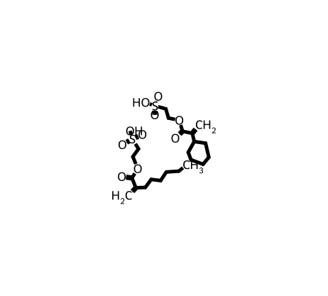 C=C(C(=O)OCCS(=O)(=O)O)C1CCCCC1.C=C(CCCCCC)C(=O)OCCS(=O)(=O)O